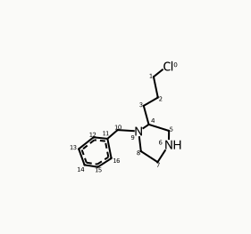 ClCCCC1CNCCN1Cc1ccccc1